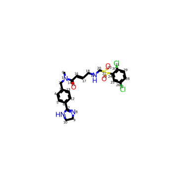 CN(Cc1ccc(C2=NCCN2)cc1)C(=O)C=CCNCS(=O)(=O)c1cc(Cl)ccc1Cl